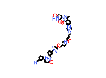 Cc1nn(C2CCC(=O)NC2=O)c(=O)c2cc(N3CCN(CCCCC(=O)N4CCC(COc5cnc(-c6cccc(Cn7nc(-c8cccc(C#N)c8)ccc7=O)c6)nc5)CC4)CC3)ccc12